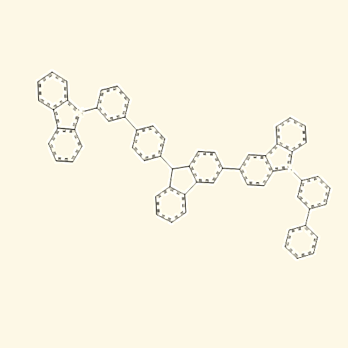 c1ccc(-c2cccc(-n3c4ccccc4c4cc(-c5ccc6c(c5)-c5ccccc5C6c5ccc(-c6cccc(-n7c8ccccc8c8ccccc87)c6)cc5)ccc43)c2)cc1